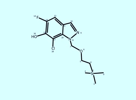 C[Si](C)(C)CCOCn1ncc2cc(F)c(O)c(Cl)c21